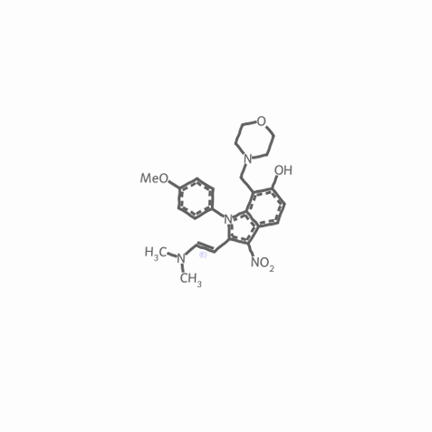 COc1ccc(-n2c(/C=C/N(C)C)c([N+](=O)[O-])c3ccc(O)c(CN4CCOCC4)c32)cc1